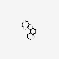 O=c1nccnc2c1sc1ccc3c(c12)CCCN3